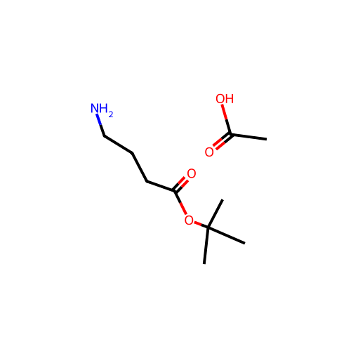 CC(=O)O.CC(C)(C)OC(=O)CCCN